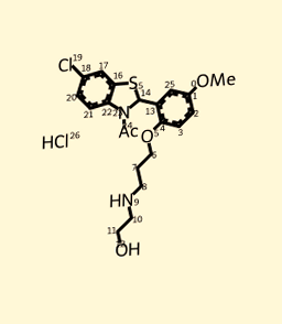 COc1ccc(OCCCNCCO)c(C2Sc3cc(Cl)ccc3N2C(C)=O)c1.Cl